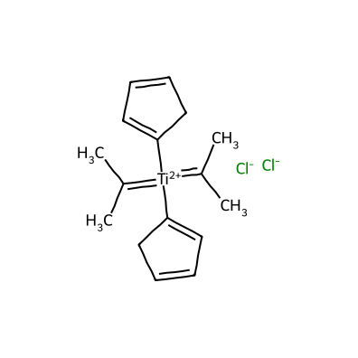 C[C](C)=[Ti+2]([C]1=CC=CC1)([C]1=CC=CC1)=[C](C)C.[Cl-].[Cl-]